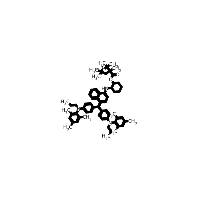 CCCN(c1ccc(C(c2ccc(N(CCC)c3c(C)cc(C)cc3C)cc2)c2ccc(NC3CCCCC3OC(=O)C(C)(CC(C)(C)C)C(C)(C)C)c3ccccc23)cc1)c1c(C)cc(C)cc1C